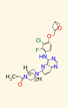 C=CC(=O)N1C[C@@H]2C[C@H]1CN2c1ccc2ncnc(Nc3ccc(OCC45CC(CO4)C5)c(Cl)c3F)c2n1